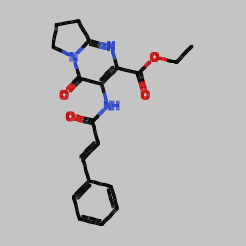 CCOC(=O)c1nc2n(c(=O)c1NC(=O)C=Cc1ccccc1)CCC2